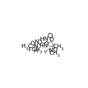 CN(CC1CC1)C(=O)C1(C)CC(=O)c2c([nH]c(-c3ccnc(NC(=O)C(C)(C)F)c3)c2Nc2ccccc2)C1